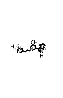 CC1C=C(c2c[nH]c3ncccc23)CN(CCCc2cnn(C)c2)C1